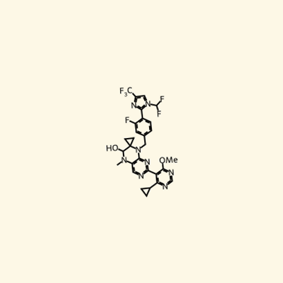 COc1ncnc(C2CC2)c1-c1ncc2c(n1)N(Cc1ccc(-c3nc(C(F)(F)F)cn3C(F)F)c(F)c1)C1(CC1)C(O)N2C